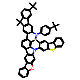 CC(C)(C)c1ccc(N2B3c4cc5c(cc4-n4c6cc7oc8ccccc8c7cc6c6ccc(c3c64)-c3cc4c(cc32)-c2cc(C(C)(C)C)ccc2C4(C)C)sc2ccccc25)cc1